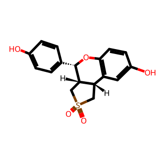 O=S1(=O)C[C@H]2[C@@H](C1)c1cc(O)ccc1O[C@H]2c1ccc(O)cc1